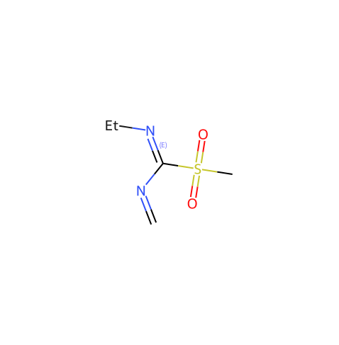 C=N/C(=N\CC)S(C)(=O)=O